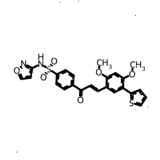 COc1cc(OC)c(-c2cccs2)cc1/C=C/C(=O)c1ccc(S(=O)(=O)Nc2ccon2)cc1